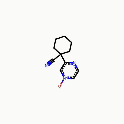 N#CC1(c2c[n+]([O-])ccn2)CCCCC1